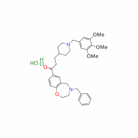 COc1cc(CN2CCC(CCC(=O)c3ccc4c(c3)CN(Cc3ccccc3)CCO4)CC2)cc(OC)c1OC.Cl.Cl